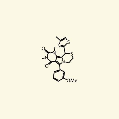 COc1cccc(-c2c3c(=O)n(C)c(=O)n(C)c3c3n2CCSC3c2nc(C)cs2)c1